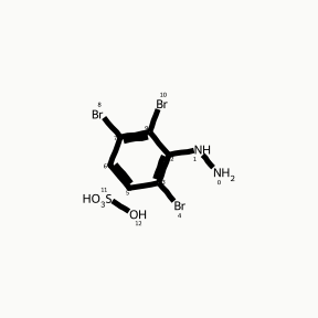 NNc1c(Br)ccc(Br)c1Br.O=S(=O)(O)O